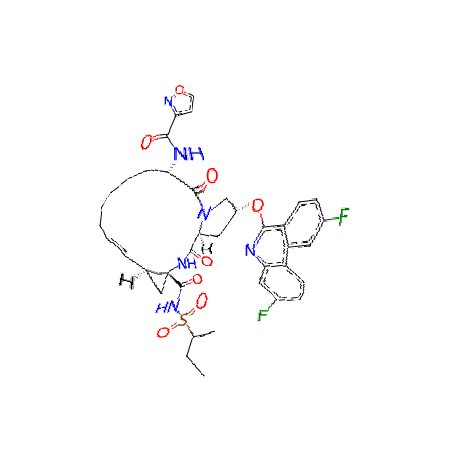 CCC(C)S(=O)(=O)NC(=O)[C@@]12C[C@H]1/C=C\CCCCC[C@H](NC(=O)c1ccon1)C(=O)N1C[C@H](Oc3nc4cc(F)ccc4c4cc(F)ccc34)C[C@H]1C(=O)N2